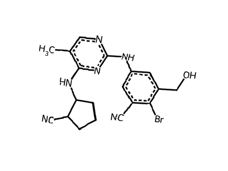 Cc1cnc(Nc2cc(C#N)c(Br)c(CO)c2)nc1NC1CCCC1C#N